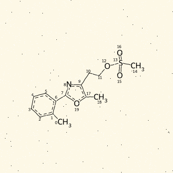 Cc1ccccc1-c1nc(CCOS(C)(=O)=O)c(C)o1